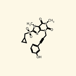 Cn1c(=O)c2c(nc(S(=O)(=O)CC3CC3)n2C)n(CC#Cc2cccc(O)c2)c1=O